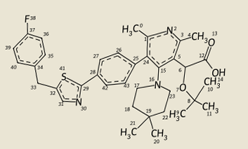 Cc1nc(C)c(C(OC(C)(C)C)C(=O)O)c(N2CCC(C)(C)CC2)c1-c1ccc(-c2ncc(Cc3ccc(F)cc3)s2)cc1